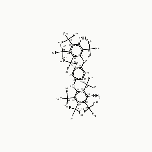 Nc1c(C(F)(F)F)c(Oc2ccc(Oc3c(C(F)(F)F)c(N)c(C(F)(F)F)c(C(F)(F)F)c3C(F)(F)F)cc2)c(C(F)(F)F)c(C(F)(F)F)c1C(F)(F)F